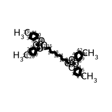 Cc1ccc(OP(=O)(OCCCCCCCCOP(=O)(Oc2ccc(C)cc2)Oc2ccc(C)cc2)Oc2ccc(C)cc2)cc1